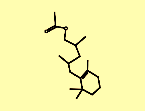 CC(=O)OCC(C)CC(C)CC1=C(C)CCCC1(C)C